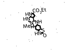 CCOC(=O)c1cc2c([nH]1)NCNC2Nc1cc2sc(=O)[nH]c2cc1OC